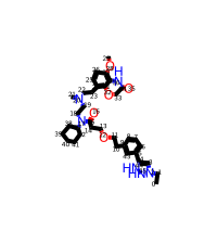 CCN1C=C(c2cccc(CCOCCC(=O)N(CCN(C)CCc3ccc(OC)c4c3OCC(=O)N4)C3CCCCC3)c2)NN1